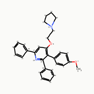 COc1ccc(-c2c(OCCN3CCCC3)cc(-c3ccccc3)nc2-c2ccccc2)cc1